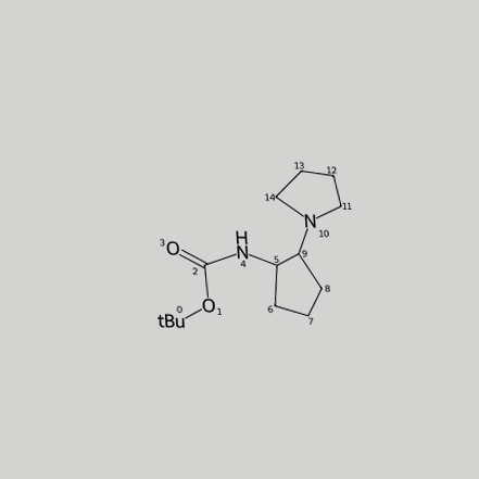 CC(C)(C)OC(=O)NC1CCCC1N1CCCC1